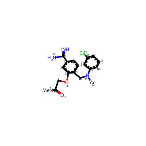 CNC(=O)COc1cc(C(=N)N)ccc1CN(C(C)=O)c1cccc(Cl)c1